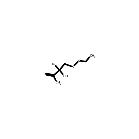 CCSSCC(O)(O)C(C)=O